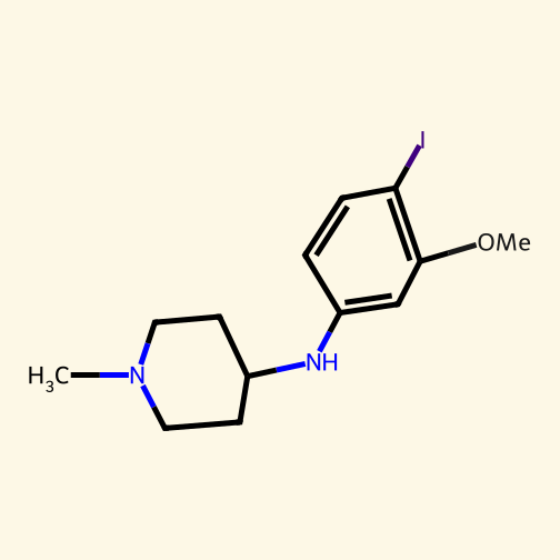 COc1cc(NC2CCN(C)CC2)ccc1I